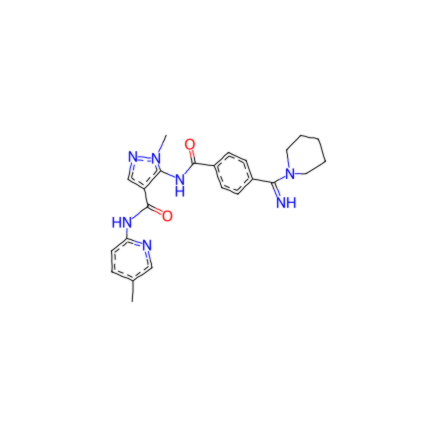 Cc1ccc(NC(=O)c2cnn(C)c2NC(=O)c2ccc(C(=N)N3CCCCC3)cc2)nc1